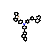 CC12C=CC=CC1=C(c1cccc(-c3ccc(N(c4ccc(-c5ccc6c(ccc7ccccc76)c5)cc4)c4ccc(-c5cccc6c5sc5ccccc56)cc4)cc3)c1)C=CC2